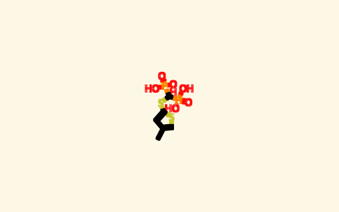 Cc1csc(SC(P(=O)(O)O)P(=O)(O)O)c1